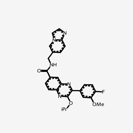 COc1cc(-c2nc3cc(C(=O)NCc4ccc5nccn5c4)ccc3nc2OC(C)C)ccc1F